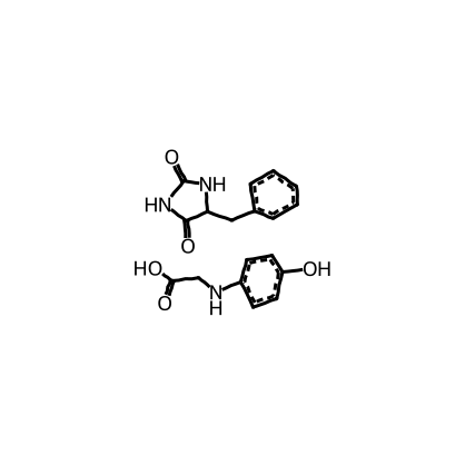 O=C(O)CNc1ccc(O)cc1.O=C1NC(=O)C(Cc2ccccc2)N1